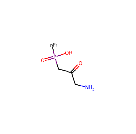 CCCP(=O)(O)CC(=O)CN